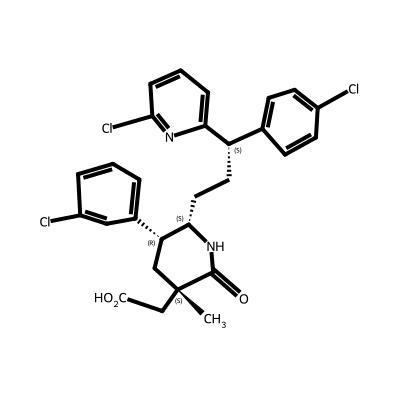 C[C@@]1(CC(=O)O)C[C@H](c2cccc(Cl)c2)[C@H](CC[C@@H](c2ccc(Cl)cc2)c2cccc(Cl)n2)NC1=O